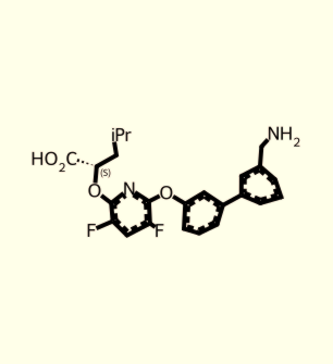 CC(C)C[C@H](Oc1nc(Oc2cccc(-c3cccc(CN)c3)c2)c(F)cc1F)C(=O)O